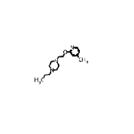 CCCN1CCN(CCOc2cc(C)ccn2)CC1